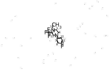 CCN1CCN(c2ccc(F)cc2)CC1C(F)(F)F